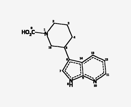 O=C(O)N1CCCC(c2c[nH]c3ncccc23)C1